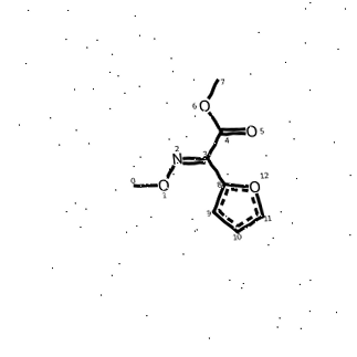 CO/N=C(/C(=O)OC)c1ccco1